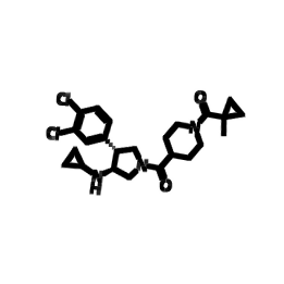 CC1(C(=O)N2CCC(C(=O)N3C[C@@H](NC4CC4)[C@H](c4ccc(Cl)c(Cl)c4)C3)CC2)CC1